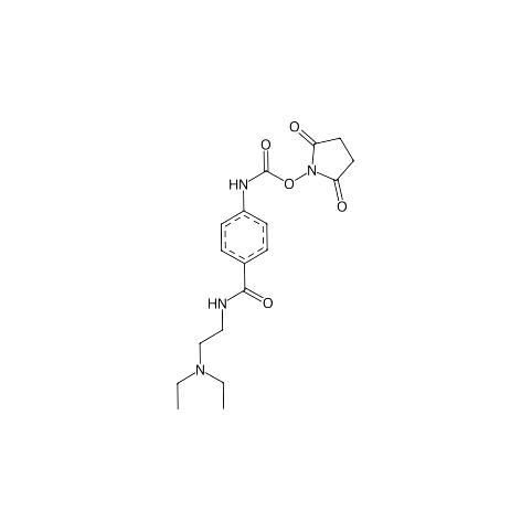 CCN(CC)CCNC(=O)c1ccc(NC(=O)ON2C(=O)CCC2=O)cc1